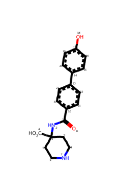 O=C(NC1(C(=O)O)CCNCC1)c1ccc(-c2ccc(O)cc2)cc1